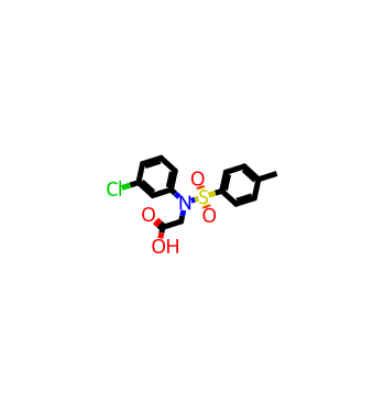 Cc1ccc(S(=O)(=O)N(CC(=O)O)c2cccc(Cl)c2)cc1